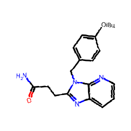 CC(C)COc1ccc(Cn2c(CCC(N)=O)nc3cccnc32)cc1